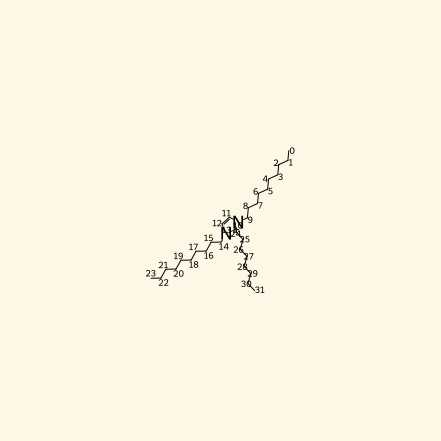 CCCCCCCCCCn1cc[n+](CCCCCCCCCC)c1CCCCCCC